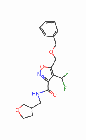 O=C(NCC1CCOC1)c1noc(COCc2ccccc2)c1C(F)F